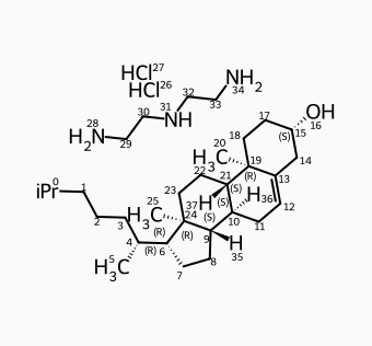 CC(C)CCC[C@@H](C)[C@H]1CC[C@H]2[C@@H]3CC=C4C[C@@H](O)CC[C@]4(C)[C@H]3CC[C@]12C.Cl.Cl.NCCNCCN